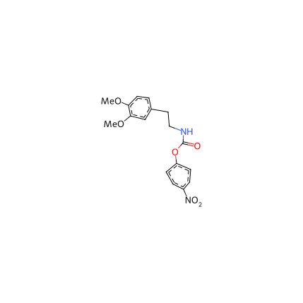 COc1ccc(CCNC(=O)Oc2ccc([N+](=O)[O-])cc2)cc1OC